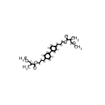 C=C(COC)C(=O)OCCCc1ccc(-c2ccc(CCCOC(=O)C(=C)COC)cc2)cc1